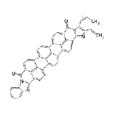 C=Cc1nc2c3ccc4c5ccc6c7ccc8c9c(ccc(c%10ccc(c%11ccc(c(=O)n2c1/C=C\C)c3c%114)c5c%106)c79)c(=O)n1c2ccccc2nc81